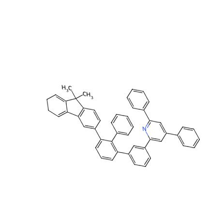 CC1(C)C2=CCCC=C2c2cc(-c3cccc(-c4cccc(-c5cc(-c6ccccc6)cc(-c6ccccc6)n5)c4)c3-c3ccccc3)ccc21